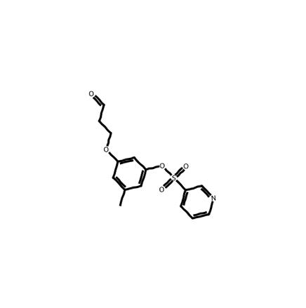 Cc1cc(OCCC=O)cc(OS(=O)(=O)c2cccnc2)c1